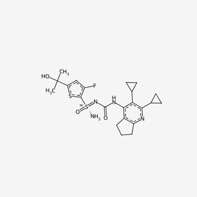 CC(C)(O)c1cc(F)c([S@](N)(=O)=NC(=O)Nc2c3c(nc(C4CC4)c2C2CC2)CCC3)s1